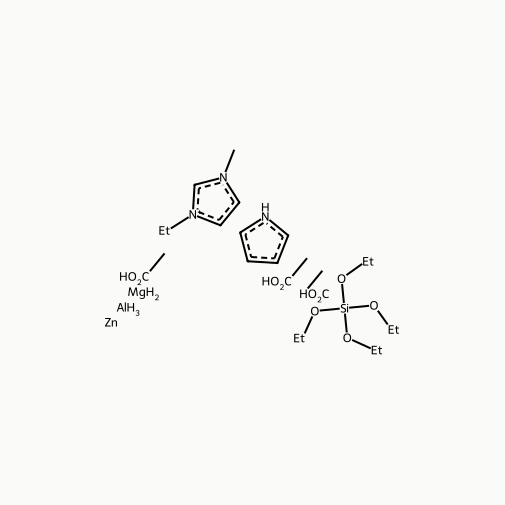 CC(=O)O.CC(=O)O.CC(=O)O.CCO[Si](OCC)(OCC)OCC.CC[n+]1ccn(C)c1.[AlH3].[MgH2].[Zn].c1cc[nH]c1